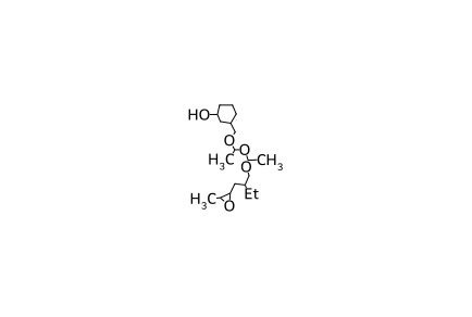 CCC(COC(C)OC(C)OCC1CCCC(O)C1)CC1OC1C